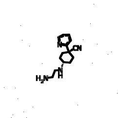 N#C[C@]1(c2ccccn2)CC[C@@H](NCCN)CC1